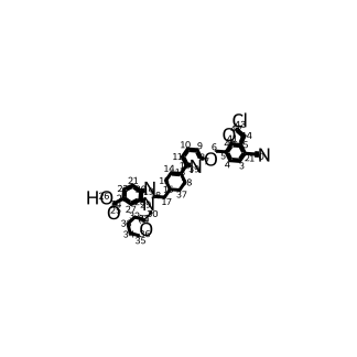 N#Cc1ccc(COc2cccc(C3=CCC(Cc4nc5ccc(C(=O)O)cc5n4C[C@@H]4CCCCO4)CC3)n2)c2oc(Cl)cc12